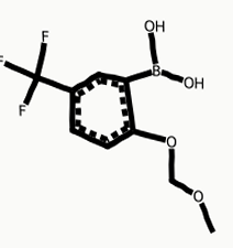 COCOc1ccc(C(F)(F)F)cc1B(O)O